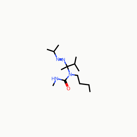 CCCCN(C(=O)NC)C(C)(N=NC(C)C)C(C)C